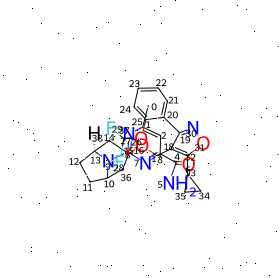 Cc1cc(C(N)=O)nc(N2C3CC[C@H]2CC(OCc2c(-c4ccccc4OC(F)F)noc2C2CC2)C3)n1